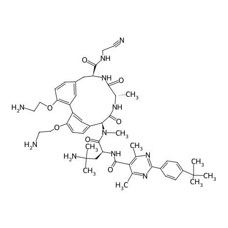 Cc1nc(-c2ccc(C(C)(C)C)cc2)nc(C)c1C(=O)N[C@@H](CC(C)(C)N)C(=O)N(C)[C@@H]1C(=O)N[C@@H](C)C(=O)N[C@H](C(=O)NCC#N)Cc2ccc(OCCN)c(c2)-c2cc1ccc2OCCN